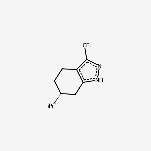 CC(C)[C@@H]1CCc2c(C(F)(F)F)n[nH]c2C1